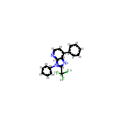 FC(F)(F)c1nc2c(-c3ccccc3)ccnc2n1-c1ccccc1